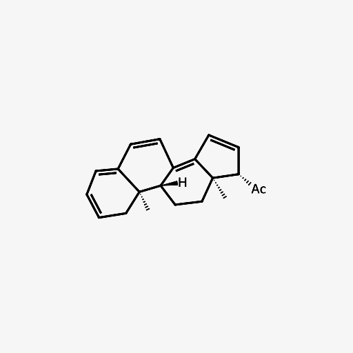 CC(=O)[C@H]1C=CC2=C3C=CC4=CC=CC[C@]4(C)[C@H]3CC[C@@]21C